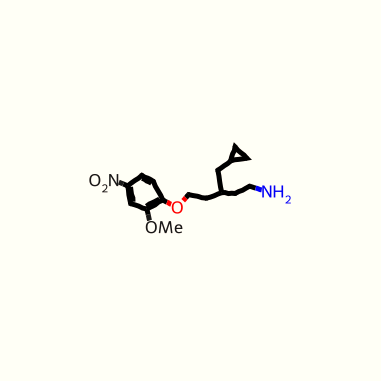 COc1cc([N+](=O)[O-])ccc1OCCC(CCN)CC1CC1